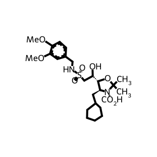 COc1ccc(CNS(=O)(=O)CC(O)[C@@H]2OC(C)(C)N(C(=O)O)[C@H]2CC2CCCCC2)cc1OC